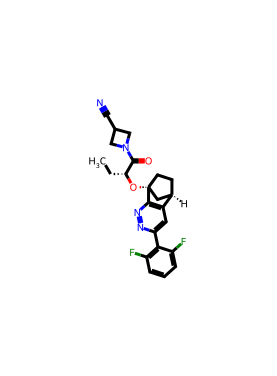 CC[C@@H](O[C@]12CC[C@H](C1)c1cc(-c3c(F)cccc3F)nnc12)C(=O)N1CC(C#N)C1